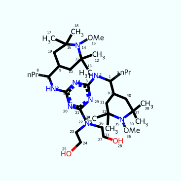 CCCC(Nc1nc(NC(CCC)C2CC(C)(C)N(OC)C(C)(C)C2)nc(N(CCO)CCO)n1)C1CC(C)(C)N(OC)C(C)(C)C1